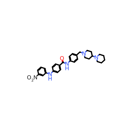 O=C(Nc1ccc(CN2CCC(N3CCCCC3)CC2)cc1)c1ccc(Nc2cccc([N+](=O)[O-])c2)cc1